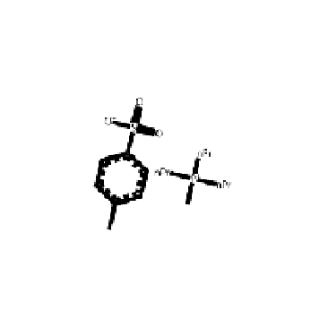 CCC[P+](C)(CCC)CCC.Cc1ccc(S(=O)(=O)[O-])cc1